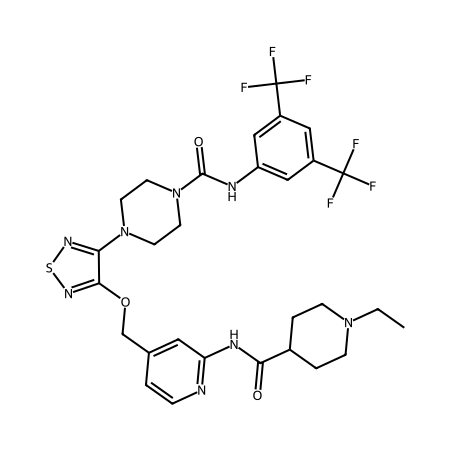 CCN1CCC(C(=O)Nc2cc(COc3nsnc3N3CCN(C(=O)Nc4cc(C(F)(F)F)cc(C(F)(F)F)c4)CC3)ccn2)CC1